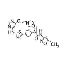 CCc1cc(NC(=O)Nc2ccc(-c3cnc(Nc4cc(OCCN5CCOCC5)ncn4)s3)cc2)no1